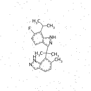 Cc1ccc2cn[nH]c2c1C(C)(C)c1n[nH]c2c(C(C)C)c(F)ccc12